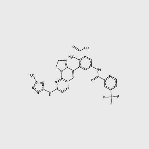 Cc1nnc(Nc2ncc3c(n2)N2CCN=C2C(c2cc(NC(=O)c4cc(C(F)(F)F)ccn4)ccc2C)=C3)o1.O=CO